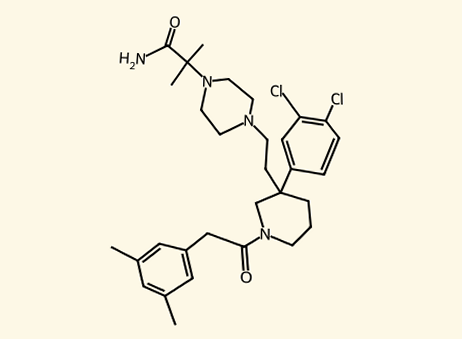 Cc1cc(C)cc(CC(=O)N2CCCC(CCN3CCN(C(C)(C)C(N)=O)CC3)(c3ccc(Cl)c(Cl)c3)C2)c1